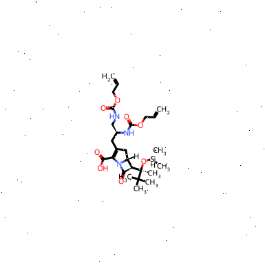 C=CCOC(=O)NC[C@H](CC1=C(C(=O)O)N2C(=O)[C@H]([C@@](C)(O[SiH](C)C)C(C)(C)C)[C@H]2C1)NC(=O)OCC=C